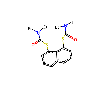 CCN(CC)C(=O)Sc1cccc2cccc(SC(=O)N(CC)CC)c12